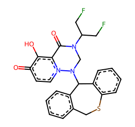 O=C1c2c(O)c(=O)ccn2N(C2c3ccccc3CSc3ccccc32)CN1C(CF)CF